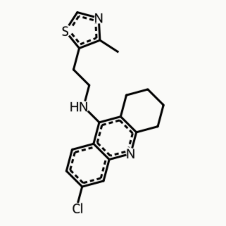 Cc1ncsc1CCNc1c2c(nc3cc(Cl)ccc13)CCCC2